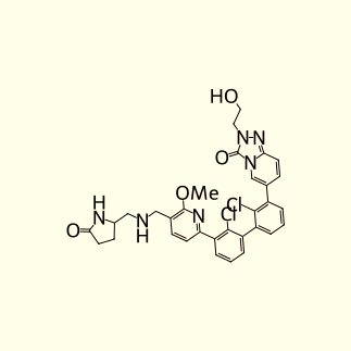 COc1nc(-c2cccc(-c3cccc(-c4ccc5nn(CCO)c(=O)n5c4)c3Cl)c2Cl)ccc1CNCC1CCC(=O)N1